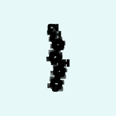 N#CCNCc1cccc(-c2ccnc(Nc3ccc(N4CCOCC4)cc3)n2)c1